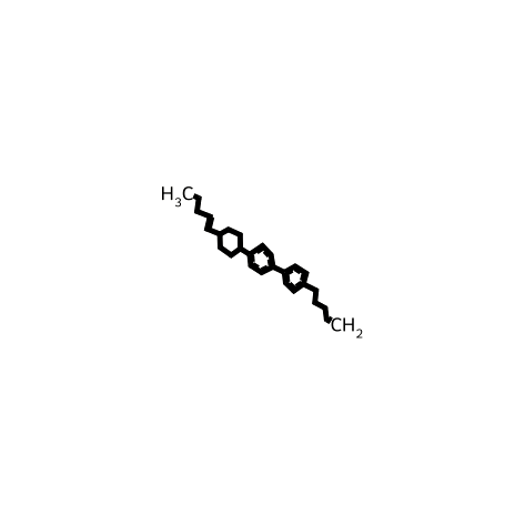 C=CCCCc1ccc(-c2ccc(C3CCC(/C=C/CCC)CC3)cc2)cc1